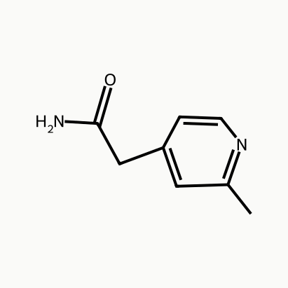 Cc1cc(CC(N)=O)ccn1